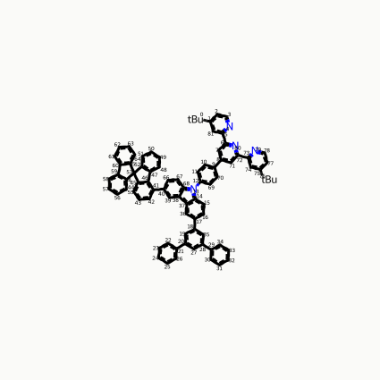 CC(C)(C)c1ccnc(-c2cc(-c3ccc(-n4c5ccc(-c6cc(-c7ccccc7)cc(-c7ccccc7)c6)cc5c5cc(-c6cccc7c6-c6ccccc6C76c7ccccc7-c7ccccc76)ccc54)cc3)cc(-c3cc(C(C)(C)C)ccn3)n2)c1